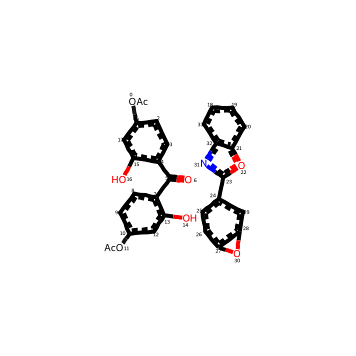 CC(=O)Oc1ccc(C(=O)c2ccc(OC(C)=O)cc2O)c(O)c1.c1ccc2oc(-c3ccc4c(c3)O4)nc2c1